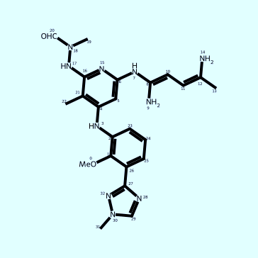 COc1c(Nc2cc(N/C(N)=C/C=C(/C)N)nc(NN(C)C=O)c2C)cccc1-c1ncn(C)n1